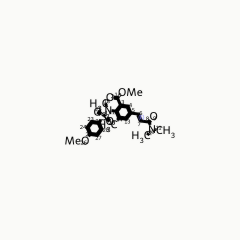 COC(=O)c1cc(/C=C/C(=O)N(C)C)cc(C)c1N(C)S(=O)(=O)c1ccc(OC)cc1